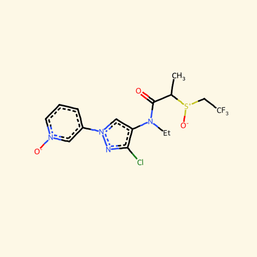 CCN(C(=O)C(C)[S+]([O-])CC(F)(F)F)c1cn(-c2ccc[n+]([O-])c2)nc1Cl